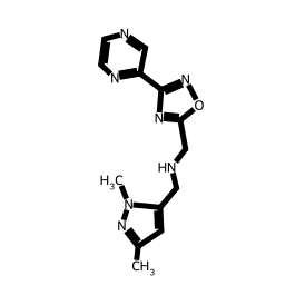 Cc1cc(CNCc2nc(-c3cnccn3)no2)n(C)n1